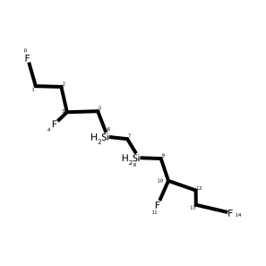 FCCC(F)C[SiH2]C[SiH2]CC(F)CCF